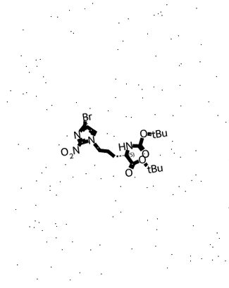 CC(C)(C)OC(=O)N[C@@H](CCCn1cc(Br)nc1[N+](=O)[O-])C(=O)OC(C)(C)C